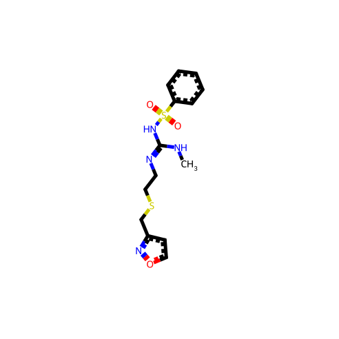 CN/C(=N\CCSCc1ccon1)NS(=O)(=O)c1ccccc1